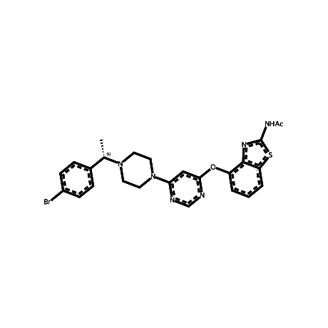 CC(=O)Nc1nc2c(Oc3cc(N4CCN([C@@H](C)c5ccc(Br)cc5)CC4)ncn3)cccc2s1